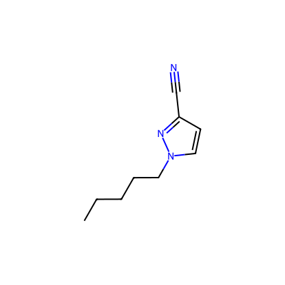 CCCCCn1ccc(C#N)n1